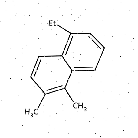 C[CH]c1cccc2c(C)c(C)ccc12